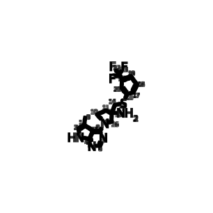 Cc1c[nH]c2ncnc(N3CCC(N)(CSc4cccc(C(F)(F)F)c4)C3)c12